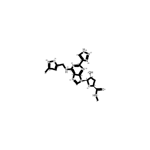 CNC(=O)[C@@H]1C[C@@H](O)[C@H](n2cnc3c(NCc4cc(C)no4)nc(-c4c[nH]nn4)nc32)O1